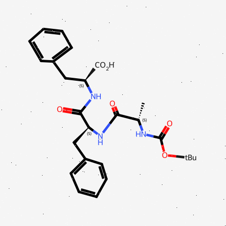 C[C@H](NC(=O)OC(C)(C)C)C(=O)N[C@@H](Cc1ccccc1)C(=O)N[C@@H](Cc1ccccc1)C(=O)O